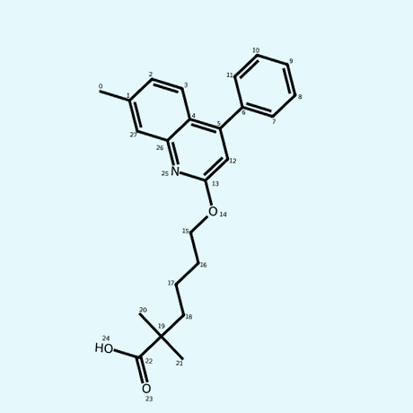 Cc1ccc2c(-c3ccccc3)cc(OCCCCC(C)(C)C(=O)O)nc2c1